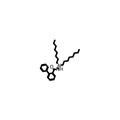 CCCCCCC[CH2][Al]([CH2]CCCCCCC)[NH]C(=O)c1ccccc1-c1ccccc1